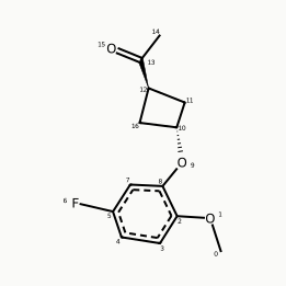 COc1ccc(F)cc1O[C@H]1C[C@H](C(C)=O)C1